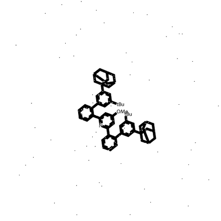 COc1cc(-c2ccccc2-c2cc(C(C)(C)C)cc(C34CC5CC(CC(C5)C3)C4)c2)nc(-c2ccccc2-c2cc(C(C)(C)C)cc(C34CC5CC(CC(C5)C3)C4)c2)c1